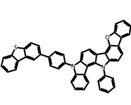 c1ccc(-n2c3ccc4c5ccccc5oc4c3c3ccc4c(c5ccccc5n4-c4ccc(-c5ccc6sc7ccccc7c6c5)cc4)c32)cc1